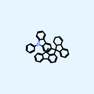 CC1(C)c2ccccc2-c2cccc(C3(c4ccc5c(c4)c4ccccc4n5-c4ccccc4)c4ccccc4C4C=CCCC43)c21